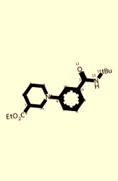 CCOC(=O)C1CCCN(c2cccc(C(=O)NC(C)(C)C)c2)C1